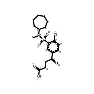 CN(C1CCCCCC1)S(=O)(=O)c1cc(C(=O)CCC(=O)O)ccc1Cl